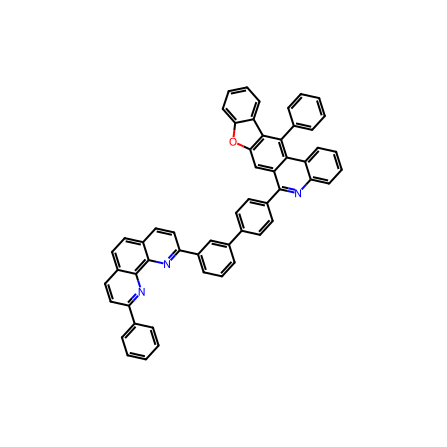 c1ccc(-c2ccc3ccc4ccc(-c5cccc(-c6ccc(-c7nc8ccccc8c8c(-c9ccccc9)c9c(cc78)oc7ccccc79)cc6)c5)nc4c3n2)cc1